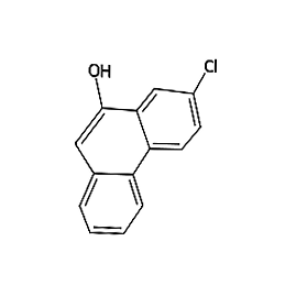 Oc1cc2ccccc2c2ccc(Cl)cc12